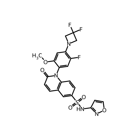 COc1cc(N2CC(F)(F)C2)c(F)cc1-n1c(=O)ccc2cc(S(=O)(=O)Nc3ccon3)ccc21